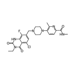 CCn1c(=O)[nH]c2c(F)c(CN3CCN(c4ccc(C(=O)NC)nc4C)CC3)cc(Cl)c2c1=O